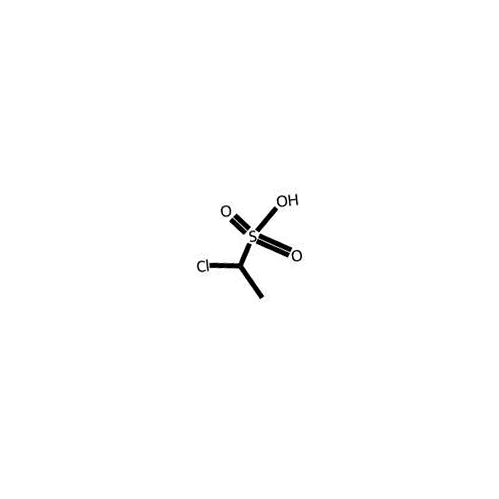 CC(Cl)S(=O)(=O)O